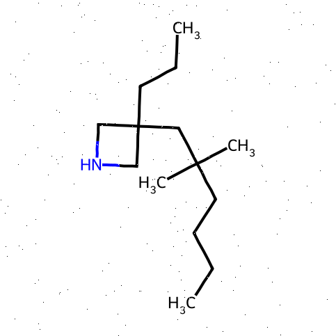 CCCCC(C)(C)CC1(CCC)CNC1